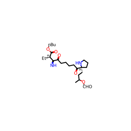 CCCCOC(=O)[C@H](CC)C(=N)C(=O)CCCCC(=O)[C@]1(CCC(C)OC=O)CCCN1